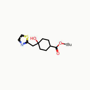 CC(C)(C)OC(=O)C1CCC(O)(Cc2nccs2)CC1